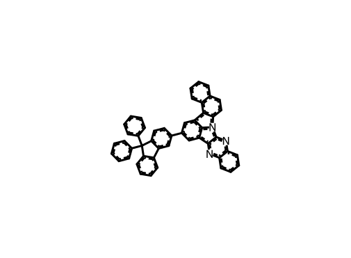 c1ccc(C2(c3ccccc3)c3ccccc3-c3cc(-c4cc5c6nc7ccccc7nc6n6c7ccc8ccccc8c7c(c4)c56)ccc32)cc1